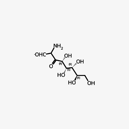 NC([C]=O)C(=O)[C@H](O)[C@@H](O)[C@H](O)[C@H](O)CO